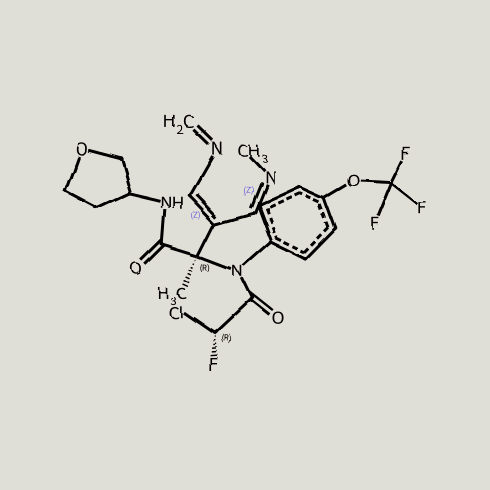 C=N/C=C(\C=N/C)[C@](C)(C(=O)NC1CCOC1)N(C(=O)[C@H](F)Cl)c1ccc(OC(F)(F)F)cc1